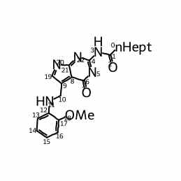 CCCCCCCC(=O)NC1=NC(=O)C2=C(CNc3ccccc3OC)C=NC2=N1